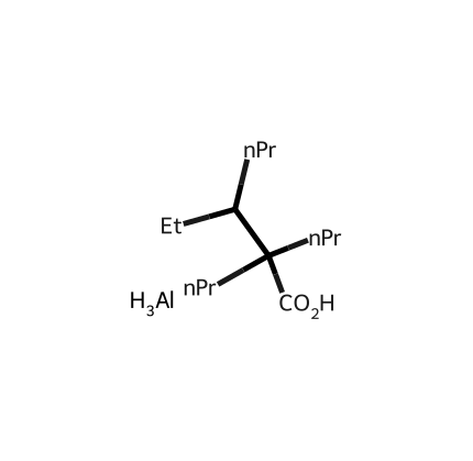 CCCC(CC)C(CCC)(CCC)C(=O)O.[AlH3]